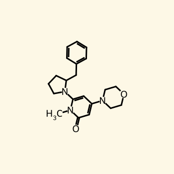 Cn1c(N2CCCC2Cc2ccccc2)cc(N2CCOCC2)cc1=O